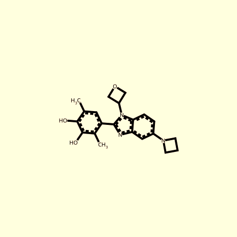 Cc1cc(-c2nc3cc(N4CCC4)ccc3n2C2COC2)c(C)c(O)c1O